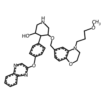 COCCCN1CCOc2ccc(COC3CNCC(O)C3c3ccc(Oc4cnc5ccccc5n4)cc3)cc21